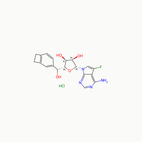 Cl.Nc1ncnc2c1c(F)cn2[C@@H]1O[C@H](C(O)c2ccc3c(c2)CC3)[C@@H](O)[C@H]1O